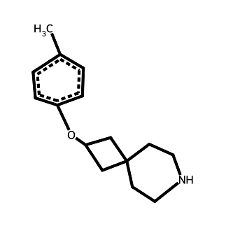 Cc1ccc(OC2CC3(CCNCC3)C2)cc1